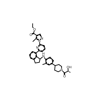 CCOC(=O)c1cnn(-c2cccc(-c3cccc4c3C(Nc3ccc(C5CCN(C(=O)[C@H](C)O)CC5)cc3C)CC4)n2)c1C